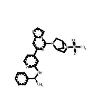 C[C@H](Nc1cc(-c2cc3nccn3c(N3CC4CC3CN4S(C)(=O)=O)n2)ccn1)c1ccccc1